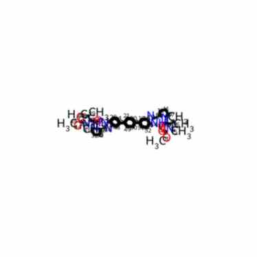 COC(=O)N(C)[C@H](C(=O)N1CCC[C@H]1c1nc2cc(-c3ccc(-c4ccc5[nH]c([C@@H]6CCCN6C(=O)[C@H](C(C)C)N(C)C(=O)OC)nc5c4)cc3)ccc2[nH]1)C(C)C